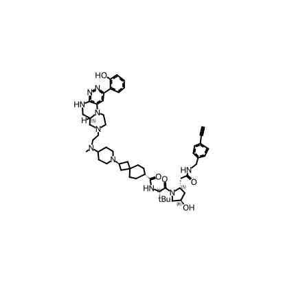 C#Cc1ccc(CNC(=O)C[C@@H]2C[C@@H](O)CN2C(=O)[C@@H](NC(=O)[C@H]2CCC3(CC2)C[C@H](N2CCC(N(C)CCN4CCN5c6cc(-c7ccccc7O)nnc6NC[C@H]5C4)CC2)C3)C(C)(C)C)cc1